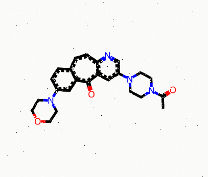 CC(=O)N1CCN(c2cnc3ccc4ccc(N5CCOCC5)cc4c(=O)c3c2)CC1